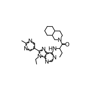 CCC(Nc1ncnc2c1nc(-c1cnc(C)nc1)n2CC)C(=O)N1CCC2CCCCC2C1